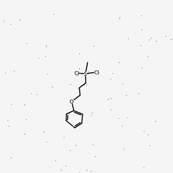 CS(Cl)(Cl)CCCOc1ccccc1